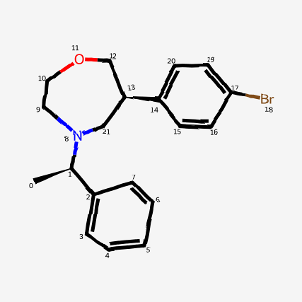 C[C@H](c1ccccc1)N1CCOC[C@@H](c2ccc(Br)cc2)C1